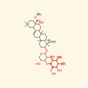 CC1(C)CC[C@]2(C(=O)OC(C)(C)C)C(O)C[C@]3(C)C(=CCC4C5(C)CC[C@H](O[C@@H]6OC[C@@H](O)[C@H](O[C@@H]7OC[C@@H](O)[C@H](O)C7O)C6O[C@@H]6OC(CO)[C@H](O)[C@H](O)C6O)[C@](C)(C=O)[C@@H]5CCC43C)C2C1